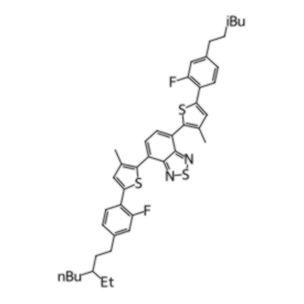 CCCCC(CC)CCc1ccc(-c2cc(C)c(-c3ccc(-c4sc(-c5ccc(CCC(C)CC)cc5F)cc4C)c4nsnc34)s2)c(F)c1